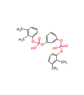 Cc1cccc(OP(=O)(O)Oc2cccc(OP(=O)(O)Oc3cccc(C)c3C)c2)c1C